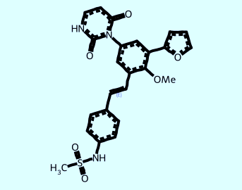 COc1c(/C=C/c2ccc(NS(C)(=O)=O)cc2)cc(-n2c(=O)cc[nH]c2=O)cc1-c1ccco1